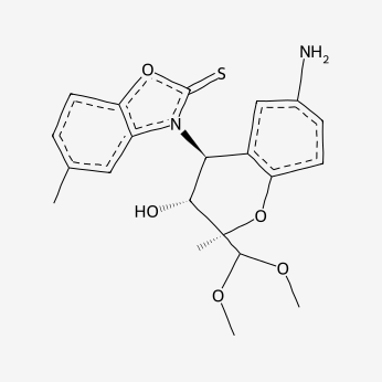 COC(OC)[C@]1(C)Oc2ccc(N)cc2[C@H](n2c(=S)oc3ccc(C)cc32)[C@H]1O